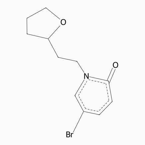 O=c1ccc(Br)cn1CCC1CCCO1